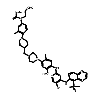 CNC(=O)N(CCC=O)c1ccc(N2CCC(CN3CCN(c4cc(OC)c(Nc5ncc(Br)c(Nc6ccc7nccnc7c6P(C)(C)=O)n5)cc4C)CC3)CC2)c(C)c1